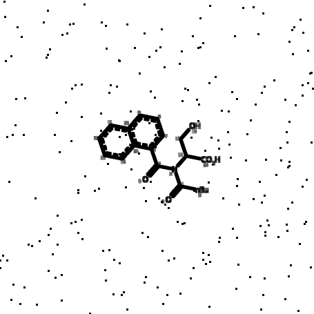 CCCCC(=O)N(C(=O)c1cccc2ccccc12)C(CO)C(=O)O